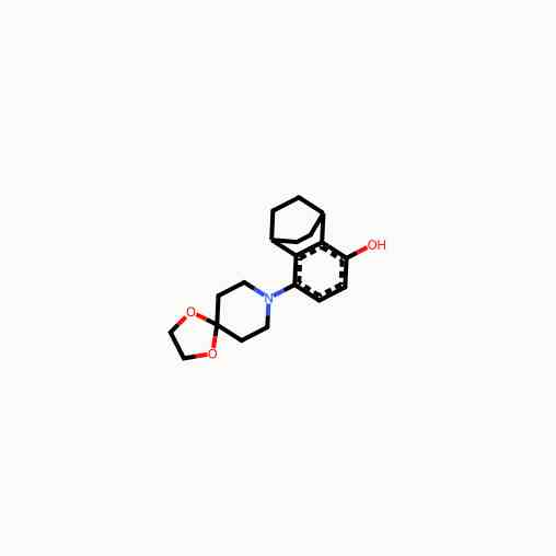 Oc1ccc(N2CCC3(CC2)OCCO3)c2c1C1CCC2CC1